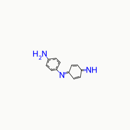 N=C1C=CC(=Nc2ccc(N)cc2)C=C1